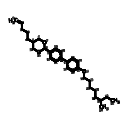 C=CCCCC1COC(c2ccc(-c3ccc(OCCCCCC(C)CC)cc3)cc2)OC1